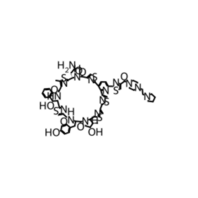 Cc1sc2nc1C(=O)N[C@@H]([C@H](O)c1ccccc1)c1nc(cs1)C(=O)NC(Cc1ccc(O)cc1)C(=O)N1C[C@H](O)[C@H](C)[C@H]1c1nc(cs1)-c1nc(cs1)-c1nc(-c3nc(C(=O)N4CCN(CCN5CCCC5)CC4)cs3)ccc1-c1nc(cs1)C(=O)N[C@H]2CC(N)=O